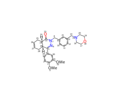 COc1ccc(C2=NN(Cc3cccc(CN4CCOCC4)c3)C(=O)[C@H]3CC=CC[C@@H]23)cc1OC